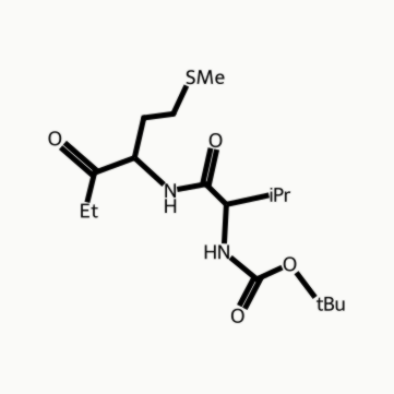 CCC(=O)C(CCSC)NC(=O)C(NC(=O)OC(C)(C)C)C(C)C